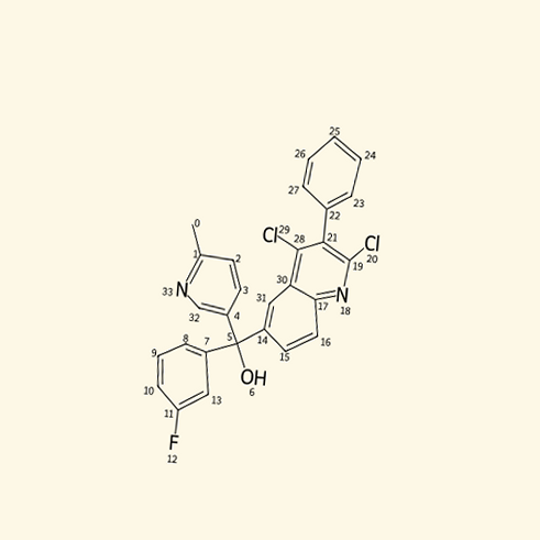 Cc1ccc(C(O)(c2cccc(F)c2)c2ccc3nc(Cl)c(-c4ccccc4)c(Cl)c3c2)cn1